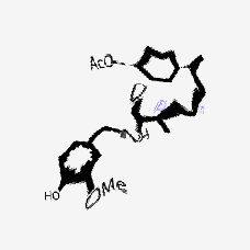 C=C(/C=C\C=C(/C)C(=O)NCc1ccc(O)c(OC)c1)[C@H]1CC[C@@H](OC(C)=O)CC1